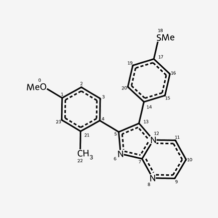 COc1ccc(-c2nc3ncccn3c2-c2ccc(SC)cc2)c(C)c1